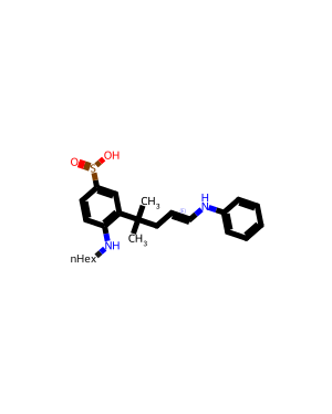 CCCCCCNc1ccc(S(=O)O)cc1C(C)(C)C/C=C/Nc1ccccc1